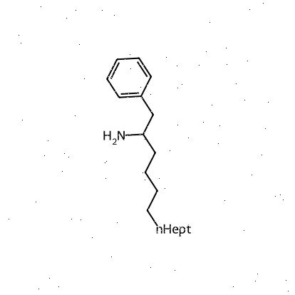 CCCCCCCCCCCC(N)Cc1ccccc1